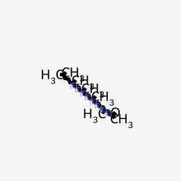 CC(=O)/C=C/C(C)=C/C=C/C=C(C)/C=C/C=C(C)/C=C/C=C(\C)CCC=C(C)C